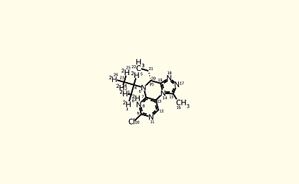 [2H]C([2H])([2H])C([2H])(N1c2nc(Cl)ncc2-n2c(C)nnc2[C@H]1CC)C([2H])([2H])[2H]